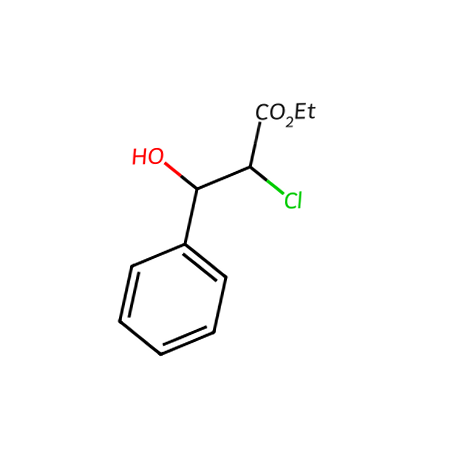 CCOC(=O)C(Cl)C(O)c1ccccc1